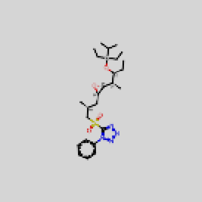 CC[C@H](O[Si](CC)(CC)C(C)C)[C@@H](C)[C@H]1O[C@@H]1C[C@H](C)CS(=O)(=O)c1nnnn1-c1ccccc1